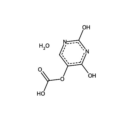 O.O=C(O)Oc1cnc(O)nc1O